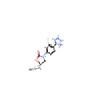 CC(=O)NC[C@H]1CN(c2ccc(-c3nnn[nH]3)c(F)c2)C(=O)O1